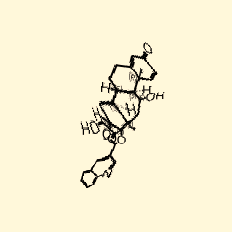 C[C@]12C=CC(=O)C=C1CC[C@@H]1[C@@H]2[C@@H](O)C[C@@]2(C)[C@H]1C[C@H]1OC(c3cnc4ccccc4c3)O[C@]12C(=O)CO